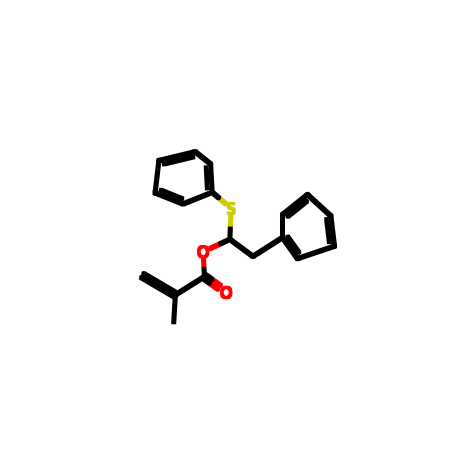 C=C(C)C(=O)OC(Cc1ccccc1)Sc1ccccc1